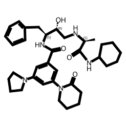 C[C@H](NC[C@@H](O)[C@H](Cc1ccccc1)NC(=O)c1cc(N2CCCC2)cc(N2CCCCC2=O)c1)C(=O)NC1CCCCC1